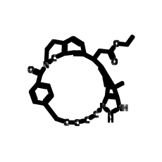 CCOC(=O)CC1c2ccc3c(c2)CN(CC3)C(=O)c2ccc(cc2)CCCCCN2NNc3c2ccc1c3C